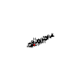 CC[C@@H](Oc1ccc(C(=O)NS(=O)(=O)N2CCN(C)CC2(C)C)c(F)c1F)c1ccc(OCC2CC2)cn1